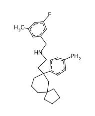 Cc1cc(F)cc(CNCCC2(c3ccc(P)cc3)CCCC3(CCCC3)C2)c1